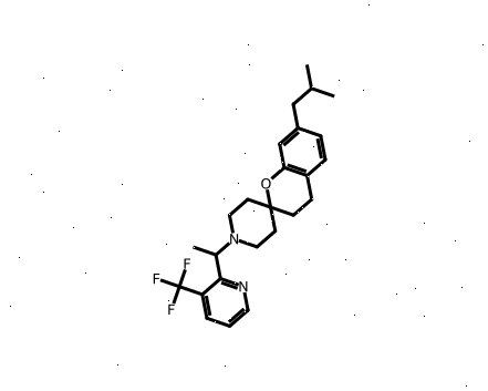 CC(C)Cc1ccc2c(c1)OC1(CC2)CCN(C(C)c2ncccc2C(F)(F)F)CC1